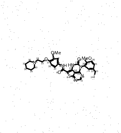 COc1cc(NC(=O)c2sc3ncnc4c3c2NC(=O)N4c2cc(CI)ccc2OC)ccc1OCCN1CCCCC1